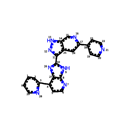 c1ccc(-c2ccnc3[nH]c(-c4n[nH]c5cnc(-c6ccncc6)cc45)nc23)nc1